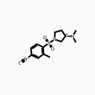 [C-]#[N+]c1ccc(S(=O)(=O)N2CC[C@@H](N(C)C)C2)c(C)c1